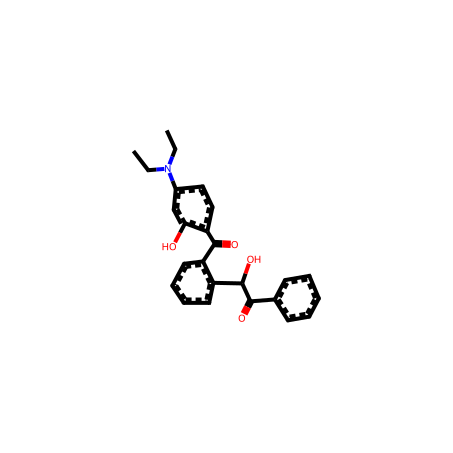 CCN(CC)c1ccc(C(=O)c2ccccc2C(O)C(=O)c2ccccc2)c(O)c1